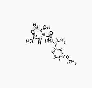 COc1cccc([C@@H](C)NC(=O)[C@H](NC(=O)O)[C@H](C)O)c1